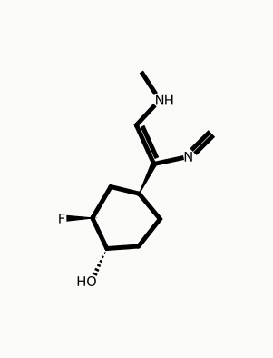 C=N/C(=C\NC)[C@H]1CC[C@H](O)[C@@H](F)C1